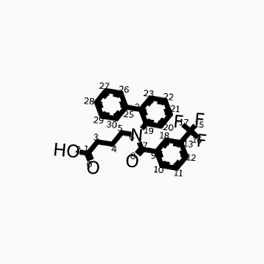 O=C(O)CCCN(C(=O)c1cccc(C(F)(F)F)c1)c1ccccc1-c1ccccc1